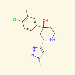 Cc1cc([C@@]2(O)C[C@@H](c3cn(C)nn3)N[C@@H](C)C2)ccc1Cl